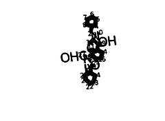 CN(Cc1ccccc1)[C@@H]1CCc2c(ccc(OCc3ccccc3)c2NC=O)[C@@H]1O